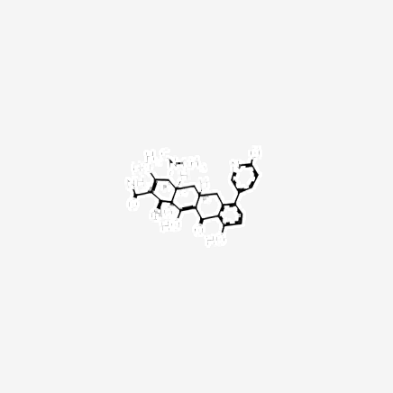 CN(C)[C@H]1C(O)=C(C(N)=O)C(=O)[C@@]2(O)C(O)=C3C(=O)c4c(O)ccc(-c5ccc(Cl)nc5)c4C[C@H]3C[C@@H]12